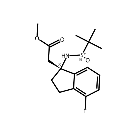 COC(=O)C[C@]1(N[S@@+]([O-])C(C)(C)C)CCc2c(F)cccc21